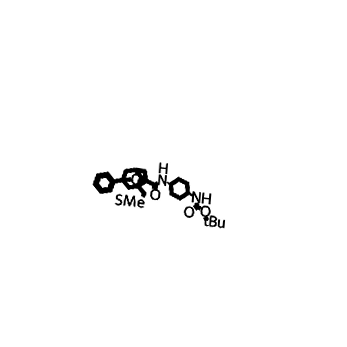 CSCC12CC3CC(c4ccccc4)(C1)CC2(C(=O)N[C@H]1CC[C@H](NC(=O)OC(C)(C)C)CC1)C3